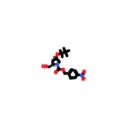 CC(C)(C)[Si](C)(C)O[C@@H]1C[C@@H](CO)N(C(=O)OCc2ccc([N+](=O)[O-])cc2)C1